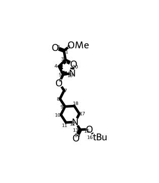 COC(=O)c1cc(OCCC2CCN(C(=O)OC(C)(C)C)CC2)no1